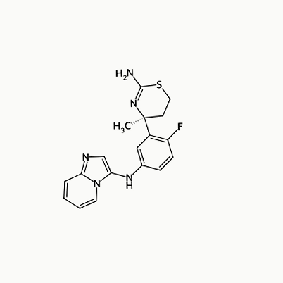 C[C@@]1(c2cc(Nc3cnc4ccccn34)ccc2F)CCSC(N)=N1